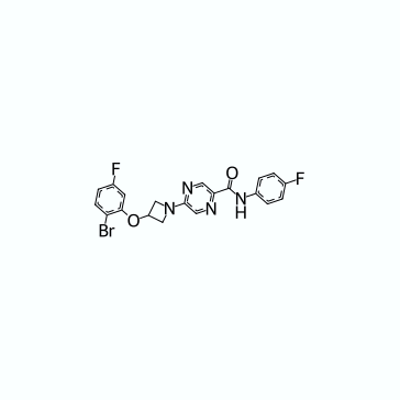 O=C(Nc1ccc(F)cc1)c1cnc(N2CC(Oc3cc(F)ccc3Br)C2)cn1